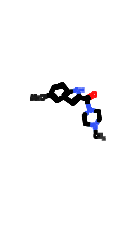 COc1ccc2[nH]c(C(=O)N3CCN(C)CC3)cc2c1